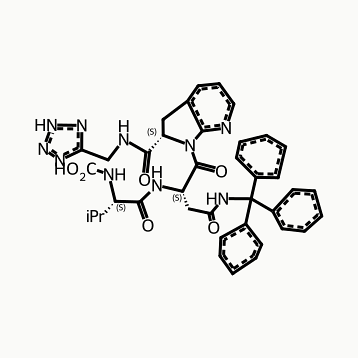 CC(C)[C@H](NC(=O)O)C(=O)N[C@@H](CC(=O)NC(c1ccccc1)(c1ccccc1)c1ccccc1)C(=O)N1c2ncccc2C[C@H]1C(=O)NCc1nn[nH]n1